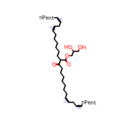 CCCCC/C=C\C/C=C\CCCCCCCC(=O)C(CCCCCC/C=C\C/C=C\CCCCC)C(=O)OCC(O)CO